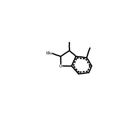 Cc1cccc2c1C(C)C(C(C)(C)C)O2